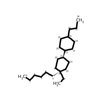 CCCCCC[C@]1(CC)CC[C@@H](C2CCC(CCC)CC2)CC1